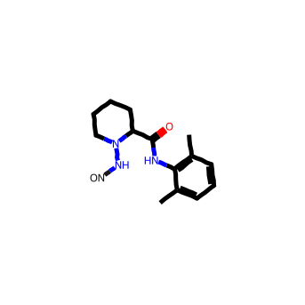 Cc1cccc(C)c1NC(=O)C1CCCCN1NN=O